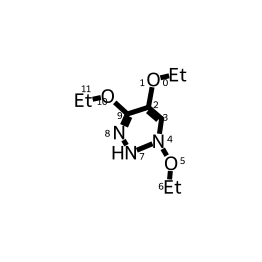 CCOC1=CN(OCC)NN=C1OCC